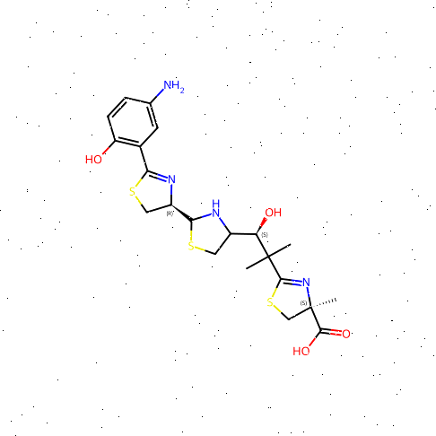 CC(C)(C1=N[C@@](C)(C(=O)O)CS1)[C@H](O)C1CSC([C@H]2CSC(c3cc(N)ccc3O)=N2)N1